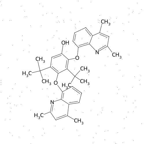 Cc1cc(C)c2cccc(Oc3c(O)cc(C(C)(C)C)c(Oc4cccc5c(C)cc(C)nc45)c3C(C)(C)C)c2n1